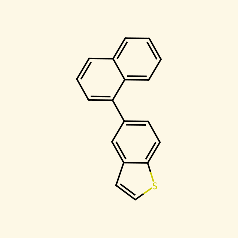 c1ccc2c(-c3ccc4sccc4c3)cccc2c1